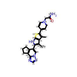 Cc1c(C2=CCN(CC(N)=O)C=C2)sc2[nH]c(-c3cn4ncnc4c4c3CCC4)c(C(C)C)c12